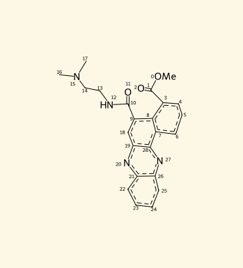 COC(=O)c1cccc2c1c(C(=O)NCCN(C)C)cc1nc3ccccc3nc12